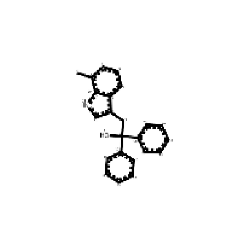 Cc1cccc2c(CC(O)(c3ccccc3)c3ccccc3)c[nH]c12